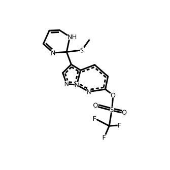 CSC1(c2cnn3nc(OS(=O)(=O)C(F)(F)F)ccc23)N=CC=CN1